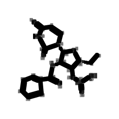 CC[C@H]1O[C@@H](n2ccc(=O)[nH]c2=O)[C@@H](OC(=O)c2ccccc2)C1O[PH](=O)O